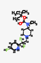 CN(C(=O)OC(C)(C)C)C1CCN(CC(F)(F)c2ccc(F)cn2)CC1